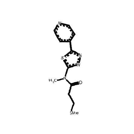 CSCCC(=O)N(C)c1nnc(-c2ccncc2)s1